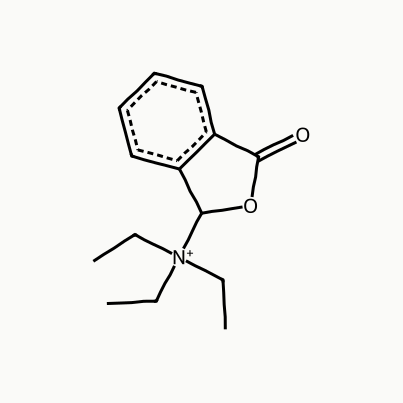 CC[N+](CC)(CC)C1OC(=O)c2ccccc21